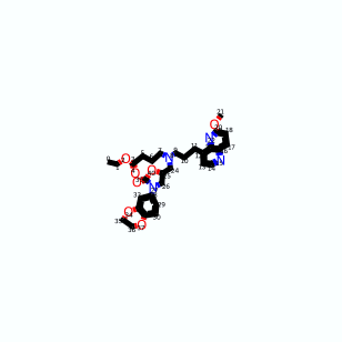 CCOC(=O)CCCN(CCCc1ccnc2ccc(OC)nc12)CC1CN(c2ccc3c(c2)OCCO3)C(=O)O1